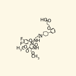 COCC1=C(C(=O)OC)[C@H](c2ccc(F)c(F)c2)N(C(=O)NCC2CN([C@H]3CC[C@H](c4ccccc4OCCC(=O)O)CC3)C2)C(=O)N1